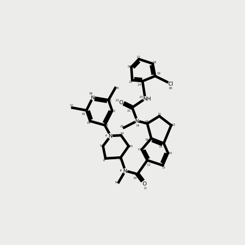 Cc1cc(N2CCC(N(C)C(=O)c3ccc4c(c3)C(N(C)C(=O)Nc3ccccc3Cl)CC4)CC2)cc(C)n1